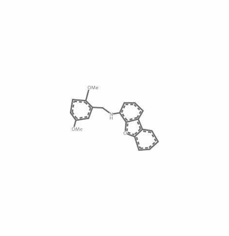 COc1ccc(OC)c(CNc2cccc3c2oc2ccccc23)c1